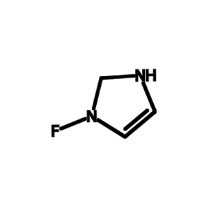 FN1C=CNC1